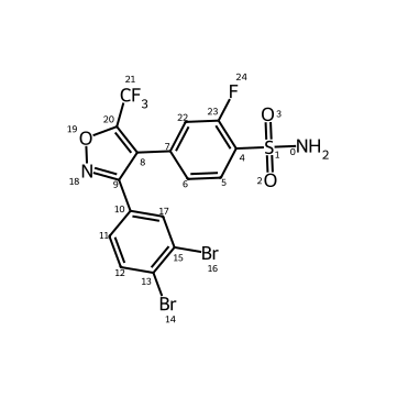 NS(=O)(=O)c1ccc(-c2c(-c3ccc(Br)c(Br)c3)noc2C(F)(F)F)cc1F